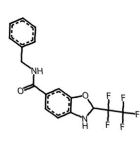 O=C(NCc1ccccc1)c1ccc2c(c1)OC(C(F)(F)C(F)(F)F)N2